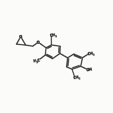 Cc1cc(-c2cc(C)c(OCC3CO3)c(C)c2)cc(C)c1O